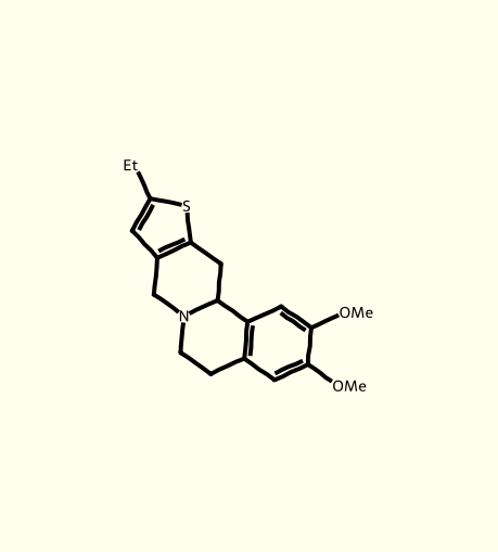 CCc1cc2c(s1)CC1c3cc(OC)c(OC)cc3CCN1C2